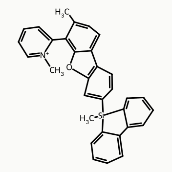 Cc1ccc2c(oc3cc([Si]4(C)c5ccccc5-c5ccccc54)ccc32)c1-c1cccc[n+]1C